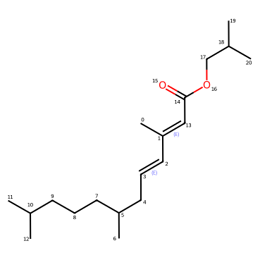 CC(/C=C/CC(C)CCCC(C)C)=C\C(=O)OCC(C)C